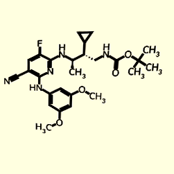 COc1cc(Nc2nc(N[C@H](C)[C@@H](CNC(=O)OC(C)(C)C)C3CC3)c(F)cc2C#N)cc(OC)c1